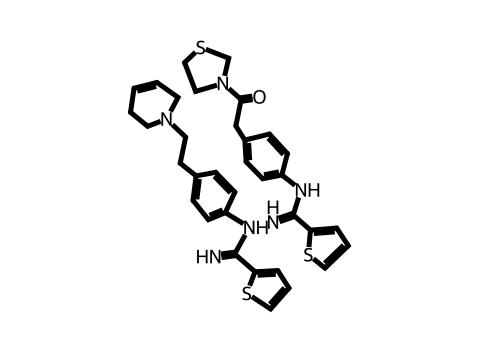 N=C(Nc1ccc(CC(=O)N2CCSC2)cc1)c1cccs1.N=C(Nc1ccc(CCN2CC=CCC2)cc1)c1cccs1